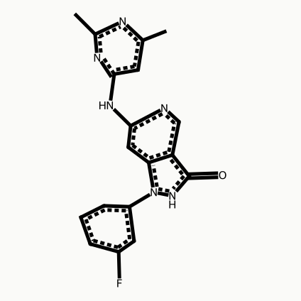 Cc1cc(Nc2cc3c(cn2)c(=O)[nH]n3-c2cccc(F)c2)nc(C)n1